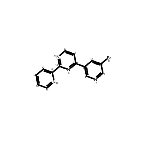 Brc1cncc(-c2ccnc(-c3ccccn3)n2)c1